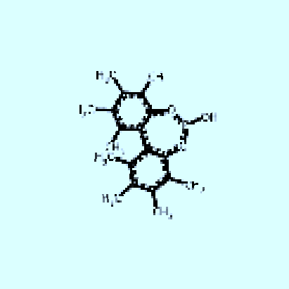 Cc1c(C)c(C)c2c(op(O)oc3c(C)c(C)c(C)c(C)c32)c1C